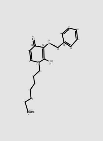 CCCCCCCCCCCCCCCCn1ccc(=O)c(OCc2ccccc2)c1C#N